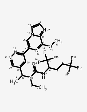 CCN(C(=O)NC(CCC(F)(F)F)C(F)(F)F)C(C)c1cnnc(-c2cn3ccnc3c(OC)n2)c1